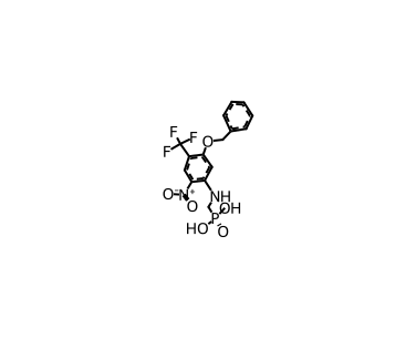 O=[N+]([O-])c1cc(C(F)(F)F)c(OCc2ccccc2)cc1NCP(=O)(O)O